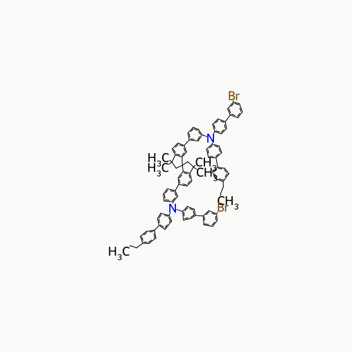 CCCc1ccc(-c2ccc(N(c3ccc(-c4cccc(Br)c4)cc3)c3cccc(-c4ccc5c(c4)C4(CC5(C)C)CC(C)(C)c5ccc(-c6cccc(N(c7ccc(-c8ccc(CCC)cc8)cc7)c7ccc(-c8cccc(Br)c8)cc7)c6)cc54)c3)cc2)cc1